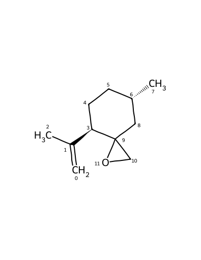 C=C(C)[C@H]1CC[C@H](C)CC12CO2